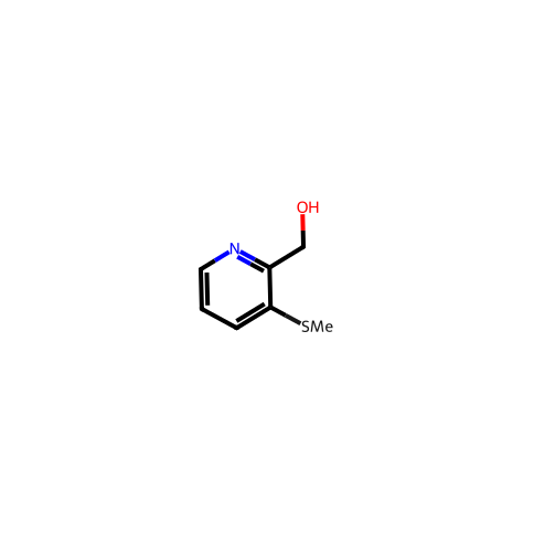 CSc1cccnc1CO